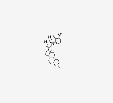 C=C(CN(N)c1cccc(OC)c1N)C1CCC2C3CCC4CC(C)CCC4C3CCC12C